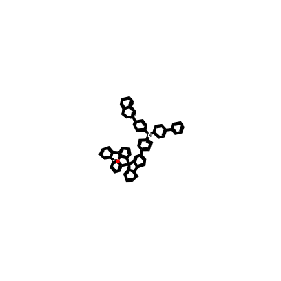 c1ccc(-c2ccc(N(c3ccc(-c4ccc5c(c4)C(c4ccccc4)(c4cccc6c4oc4ccccc46)c4ccccc4-5)cc3)c3ccc(-c4ccc5ccccc5c4)cc3)cc2)cc1